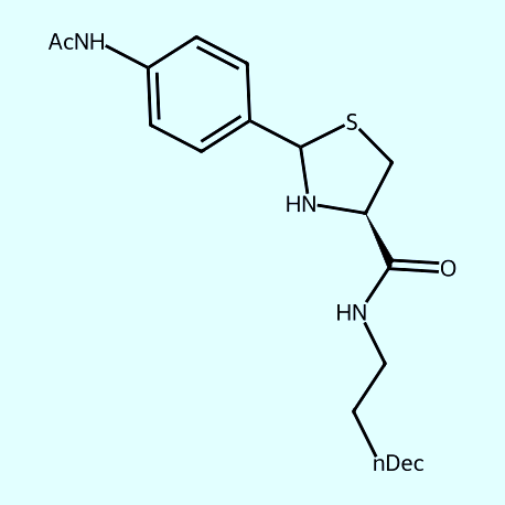 CCCCCCCCCCCCNC(=O)[C@@H]1CSC(c2ccc(NC(C)=O)cc2)N1